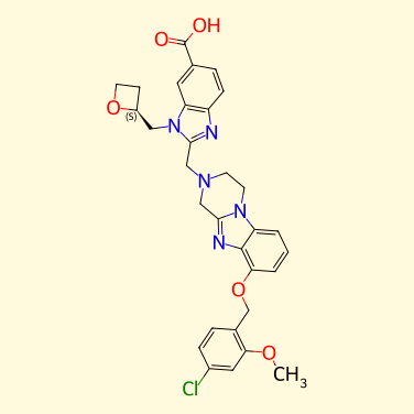 COc1cc(Cl)ccc1COc1cccc2c1nc1n2CCN(Cc2nc3ccc(C(=O)O)cc3n2C[C@@H]2CCO2)C1